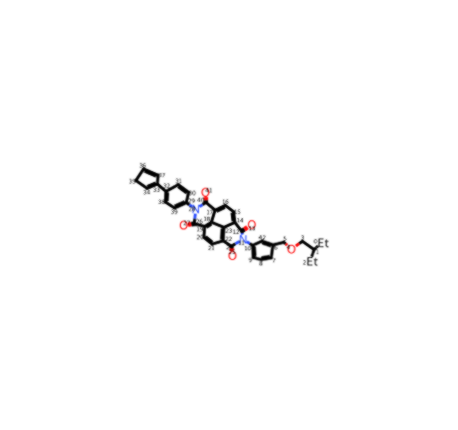 CCC(CC)COCc1cccc(N2C(=O)c3ccc4c5c(ccc(c35)C2=O)C(=O)N(c2ccc(C3=CCC=C3)cc2)C4=O)c1